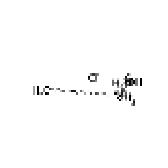 CCCCCCCCCCCCCCCCCCN[N+](C)(C)CCC[Si](O)(O)O.[Cl-]